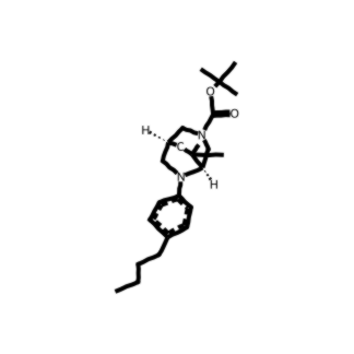 CCCCc1ccc(N2C[C@H]3CN(C(=O)OC(C)(C)C)C[C@@H]2C(C)(C)C3)cc1